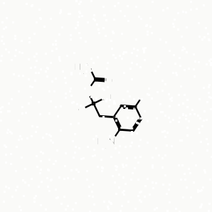 CC(C)(Cc1cc(F)ccc1N)OC(N)=O